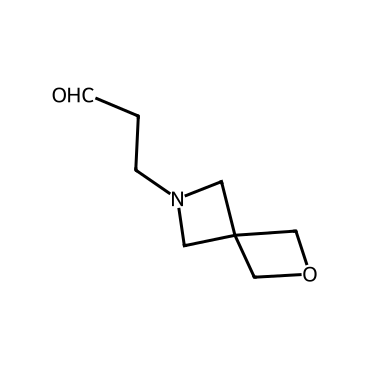 O=CCCN1CC2(COC2)C1